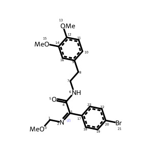 COC/N=C(\C(=O)NCCc1ccc(OC)c(OC)c1)c1ccc(Br)cc1